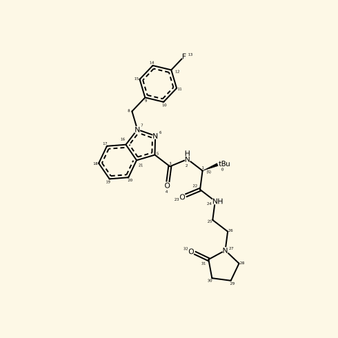 CC(C)(C)[C@H](NC(=O)c1nn(Cc2ccc(F)cc2)c2ccccc12)C(=O)NCCN1CCCC1=O